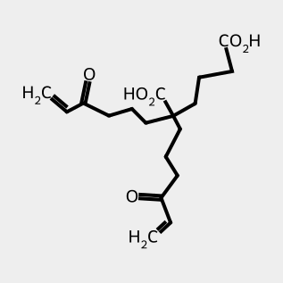 C=CC(=O)CCCC(CCCC(=O)O)(CCCC(=O)C=C)C(=O)O